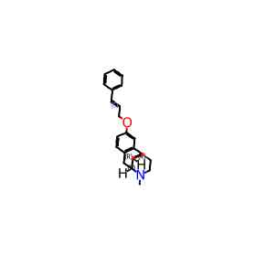 CN1CC[C@]23CCCC[C@H]2[C@H]1Cc1ccc(OC/C=C/c2ccccc2)cc13